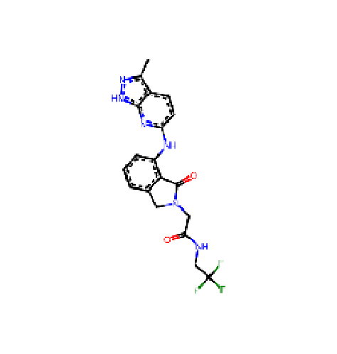 Cc1n[nH]c2nc(Nc3cccc4c3C(=O)N(CC(=O)NCC(F)(F)F)C4)ccc12